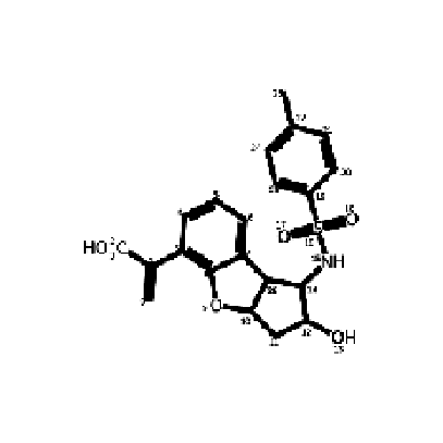 C=C(C(=O)O)c1cccc2c1OC1CC(O)C(NS(=O)(=O)c3ccc(C)cc3)C21